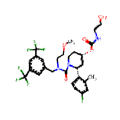 COCCN(Cc1cc(C(F)(F)F)cc(C(F)(F)F)c1)C(=O)N1CC[C@H](OC(=O)NCCO)C[C@@H]1c1ccc(F)cc1C